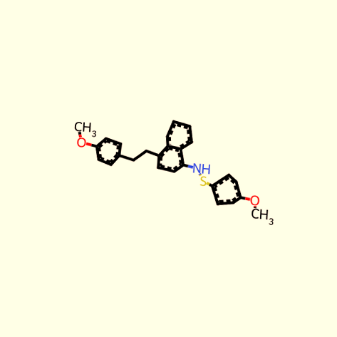 COc1ccc(CCc2ccc(NSc3ccc(OC)cc3)c3ccccc23)cc1